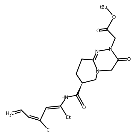 C=C/C=C(Cl)\C=C(/CC)NC(=O)[C@H]1CCC2=NN(CC(=O)OC(C)(C)C)C(=O)CN2C1